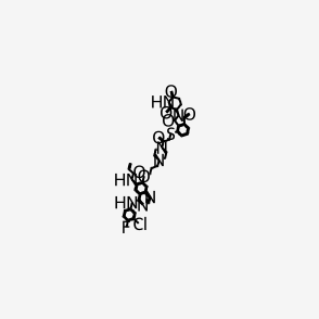 C=CC(=O)Nc1cc2c(Nc3ccc(F)c(Cl)c3)ncnc2cc1OCCCN1CCN(C(=O)CSc2cccc3c2C(=O)N(C2CCC(=O)NC2=O)C3=O)CC1